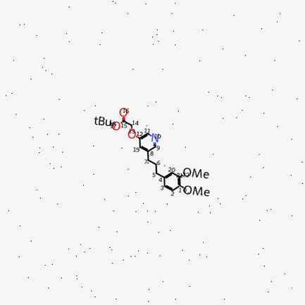 COc1ccc(CC[CH]c2cncc(OCC(=O)OC(C)(C)C)c2)cc1OC